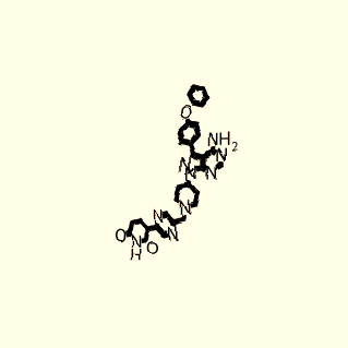 Nc1ncnc2c1c(-c1ccc(Oc3ccccc3)cc1)nn2C1CCN(Cc2cnc(C3CCC(=O)NC3=O)cn2)CC1